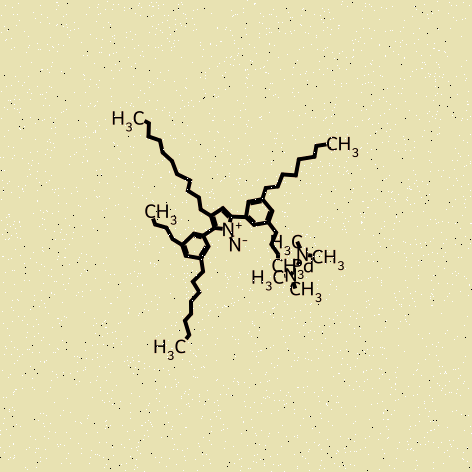 CCCCCCCCCCCC1=C(c2cc(CCCC)cc(CCCCCCCC)c2)[N+](=[N-])C(c2cc(CCCC)cc(CCCCCCCC)c2)=C1.C[N](C)[Pd][N](C)C